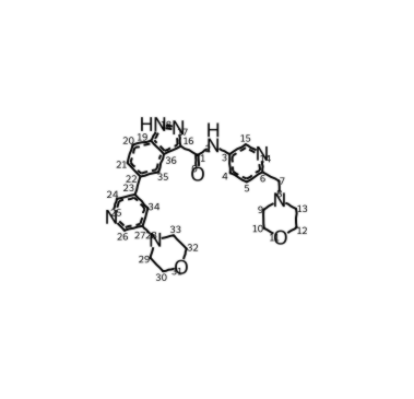 O=C(Nc1ccc(CN2CCOCC2)nc1)c1n[nH]c2ccc(-c3cncc(N4CCOCC4)c3)cc12